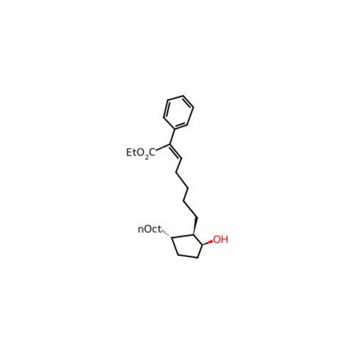 CCCCCCCC[C@H]1CC[C@H](O)[C@@H]1CCCCC=C(C(=O)OCC)c1ccccc1